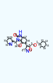 Cc1noc(COCc2ccccc2)c1-c1ccc2[nH]c(=O)n3c2c1OCC3c1ccccn1